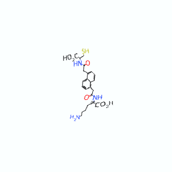 NCCCC[C@H](NC(=O)Cc1cccc2c(CC(=O)NC(CS)C(=O)O)cccc12)C(=O)O